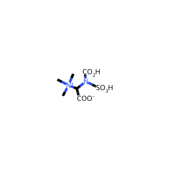 C[N+](C)(C)C(C(=O)[O-])N(C(=O)O)S(=O)(=O)O